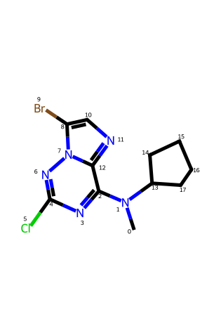 CN(c1nc(Cl)nn2c(Br)cnc12)C1CCCC1